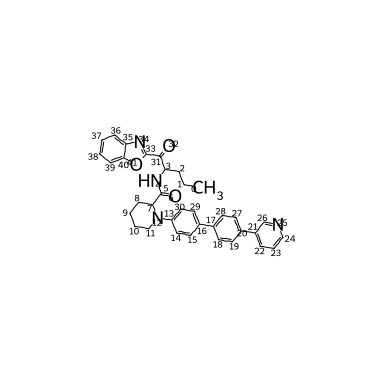 CCCC(NC(=O)C1CCCCN1c1ccc(-c2ccc(-c3cccnc3)cc2)cc1)C(=O)c1nc2ccccc2o1